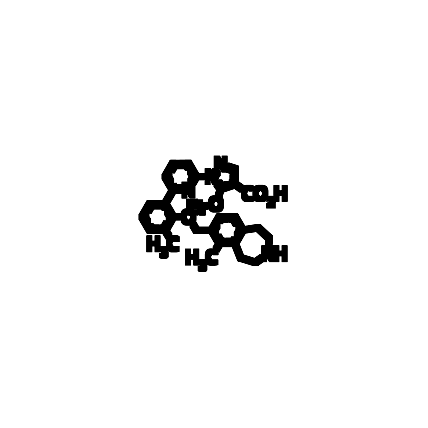 CCOc1c(C(=O)O)cnn1-c1cccc(-c2cccc(C)c2OCc2ccc3c(c2C)CCNCC3)n1